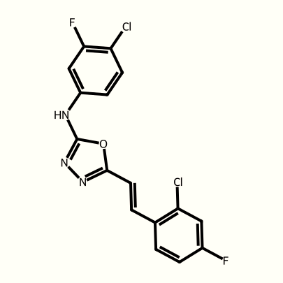 Fc1ccc(/C=C/c2nnc(Nc3ccc(Cl)c(F)c3)o2)c(Cl)c1